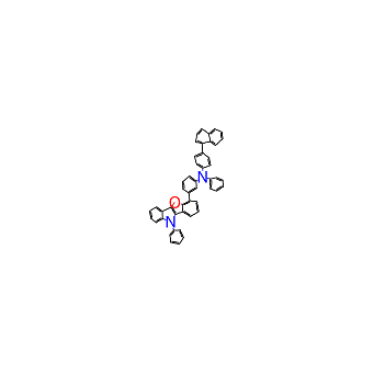 c1ccc(N(c2ccc(-c3cccc4ccccc34)cc2)c2cccc(-c3cccc4c3oc3c5ccccc5n(-c5ccccc5)c43)c2)cc1